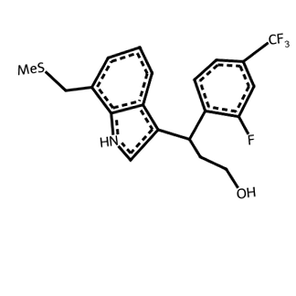 CSCc1cccc2c(C(CCO)c3ccc(C(F)(F)F)cc3F)c[nH]c12